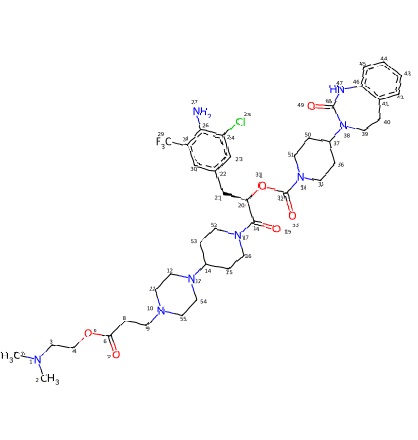 CN(C)CCOC(=O)CCN1CCN(C2CCN(C(=O)[C@@H](Cc3cc(Cl)c(N)c(C(F)(F)F)c3)OC(=O)N3CCC(N4CCc5ccccc5NC4=O)CC3)CC2)CC1